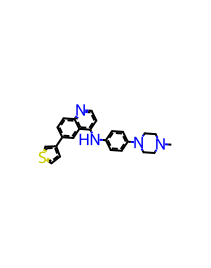 CN1CCN(c2ccc(Nc3ccnc4ccc(-c5ccsc5)cc34)cc2)CC1